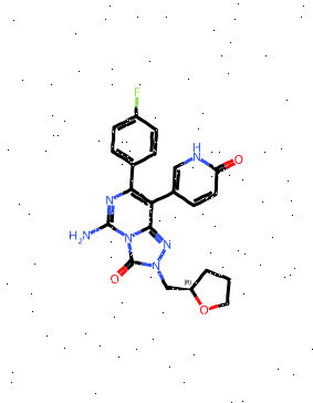 Nc1nc(-c2ccc(F)cc2)c(-c2ccc(=O)[nH]c2)c2nn(C[C@H]3CCCO3)c(=O)n12